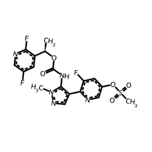 C[C@@H](OC(=O)Nc1c(-c2ncc(OS(C)(=O)=O)cc2F)cnn1C)c1cc(F)cnc1F